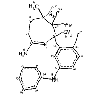 CC1(C)OCC(N)=NC(C)(c2cc(Nc3cccnc3)ccc2F)C1(F)F